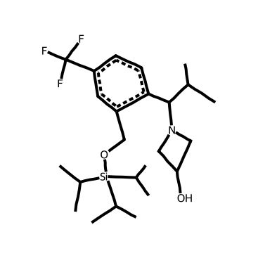 CC(C)C(c1ccc(C(F)(F)F)cc1CO[Si](C(C)C)(C(C)C)C(C)C)N1CC(O)C1